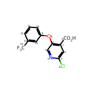 O=C(O)c1cc(Cl)ncc1Oc1cccc(C(F)(F)F)c1